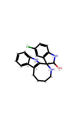 OC1Nc2ccc(Cl)cc2C12NCCCCc1c2[nH]c2ccccc12